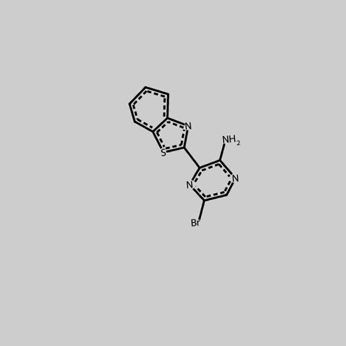 Nc1ncc(Br)nc1-c1nc2ccccc2s1